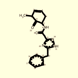 CC1C=CCC(NC(=O)c2n[nH]c(Cc3ccccc3)n2)C1=O